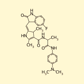 CC1=C(C(=O)NC(C)C(=O)Nc2ccc(N(C)C)cc2)C(C)C(=CC2C(=O)Nc3ccc(F)cc32)N1